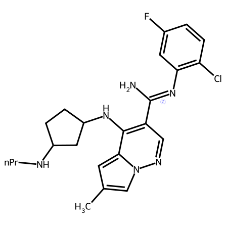 CCCNC1CCC(Nc2c(/C(N)=N/c3cc(F)ccc3Cl)cnn3cc(C)cc23)C1